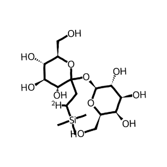 [2H]C(CC1(O[C@@H]2O[C@H](CO)[C@H](O)[C@H](O)[C@H]2O)O[C@H](CO)[C@@H](O)[C@H](O)[C@H]1O)[Si](C)(C)C